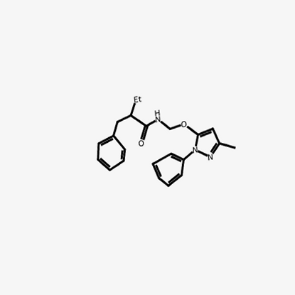 CCC(Cc1ccccc1)C(=O)NCOc1cc(C)nn1-c1ccccc1